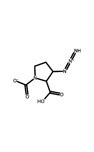 N=[N+]=NC1CCN(C(=O)[O-])C1C(=O)O